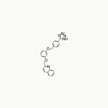 c1cc(OCc2ccc(C3=N[N+]=NN3)cc2)cc(OCc2ccc3ccccc3n2)c1